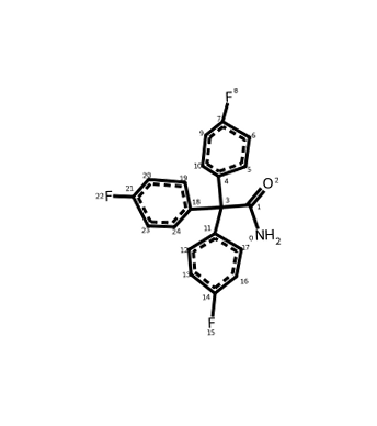 NC(=O)C(c1ccc(F)cc1)(c1ccc(F)cc1)c1ccc(F)cc1